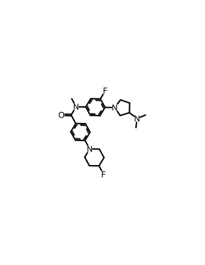 CN(C(=O)c1ccc(N2CCC(F)CC2)cc1)c1ccc(N2CCC(N(C)C)C2)c(F)c1